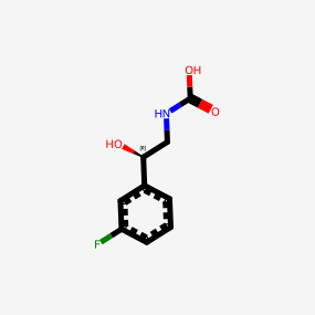 O=C(O)NC[C@H](O)c1cccc(F)c1